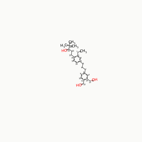 CCc1cc(CCCc2ccc(CO)c(CO)c2)ccc1CCC(O)C(C)(C)C